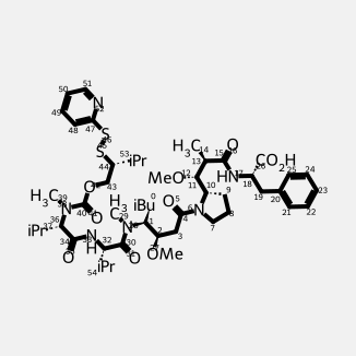 CC[C@H](C)[C@@H]([C@@H](CC(=O)N1CCC[C@H]1[C@H](OC)[C@@H](C)C(=O)N[C@@H](Cc1ccccc1)C(=O)O)OC)N(C)C(=O)[C@@H](NC(=O)[C@H](C(C)C)N(C)C(=O)OC[C@H](SSc1ccccn1)C(C)C)C(C)C